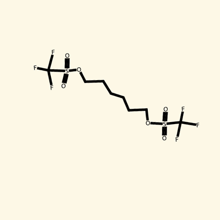 O=S(=O)(OCCCCCCOS(=O)(=O)C(F)(F)F)C(F)(F)F